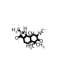 [C-]#[N+]C1C[C@]2(C)c3[nH]n(C)c(=O)c3CC[C@H]2C(C)(C)C1=O